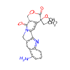 CCC1(OC)C(=O)OCc2c1cc1n(c2=O)Cc2cc3c(N)cccc3nc2-1